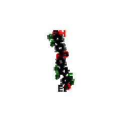 CCOc1ccc(-c2ccc(C3CCC(OC(=O)C4CCC(c5ccc(O)c(F)c5F)CC4)CC3)c(F)c2F)c(F)c1F